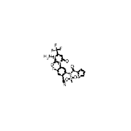 CS(=O)(=O)N(C(=O)c1cccs1)c1cc(-n2c(=O)cc(C(F)(F)F)n(N)c2=O)c(F)cc1C#N